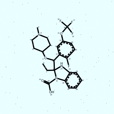 CCC1(C(OC2CCN(C)CC2)c2cc(OC(F)(F)F)ccc2F)Nc2ccccc2N1C(=O)O